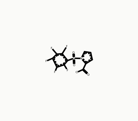 O=C(Cl)c1cccn1S(=O)(=O)c1c(F)c(F)c(F)c(F)c1F